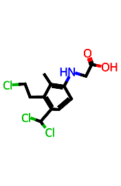 Cc1c(NCC(=O)O)ccc(C(Cl)Cl)c1CCCl